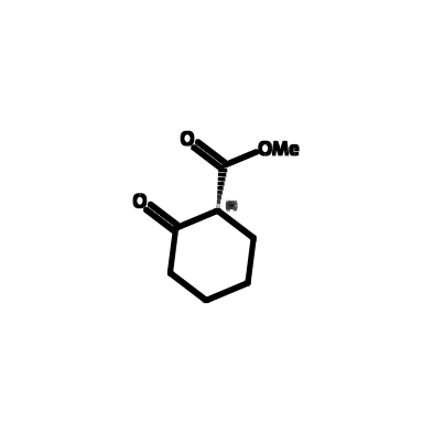 COC(=O)[C@@H]1CCCCC1=O